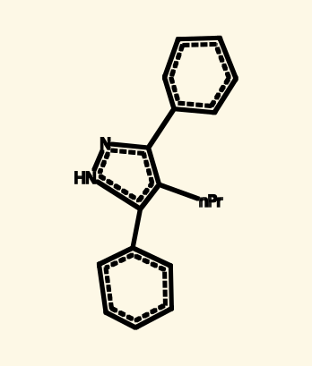 CCCc1c(-c2ccccc2)n[nH]c1-c1ccccc1